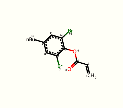 C=CC(=O)Oc1c(Br)cc(CCCC)cc1Br